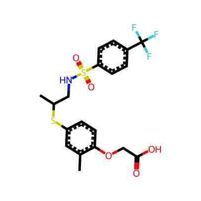 Cc1cc(SC(C)CNS(=O)(=O)c2ccc(C(F)(F)F)cc2)ccc1OCC(=O)O